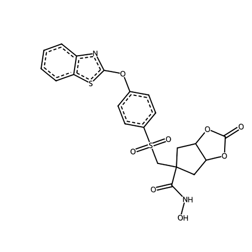 O=C1OC2CC(CS(=O)(=O)c3ccc(Oc4nc5ccccc5s4)cc3)(C(=O)NO)CC2O1